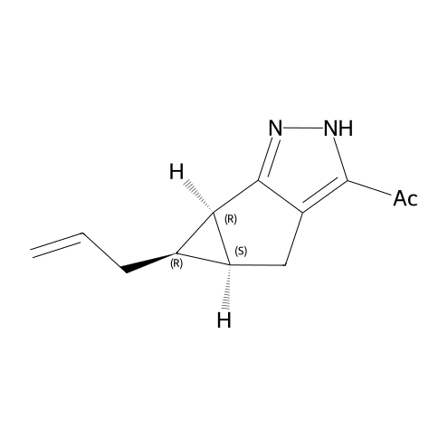 C=CC[C@@H]1[C@@H]2Cc3c(n[nH]c3C(C)=O)[C@H]12